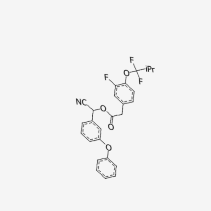 CC(C)C(F)(F)Oc1ccc(CC(=O)OC(C#N)c2cccc(Oc3ccccc3)c2)cc1F